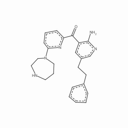 Nc1ncc(CCc2ccccc2)cc1C(=O)c1cccc(N2CCCNCC2)n1